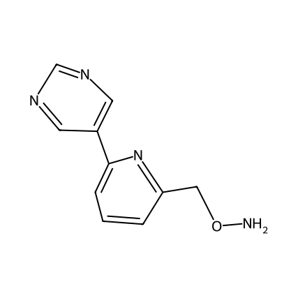 NOCc1cccc(-c2cncnc2)n1